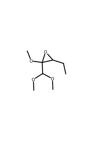 CCC1OC1(OC)[C](OC)OC